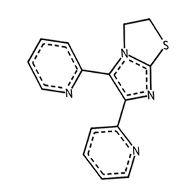 c1ccc(-c2nc3n(c2-c2ccccn2)CCS3)nc1